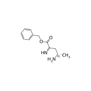 C[C@H](N)CC(=N)C(=O)OCc1ccccc1